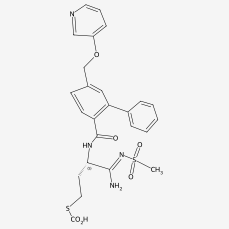 CS(=O)(=O)N=C(N)[C@H](CCSC(=O)O)NC(=O)c1ccc(COc2cccnc2)cc1-c1ccccc1